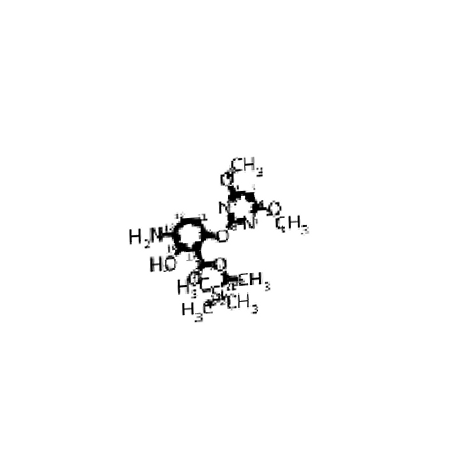 COc1cc(OC)nc(Oc2ccc(N)c(O)c2C(=O)OC(C)[Si](C)(C)C)n1